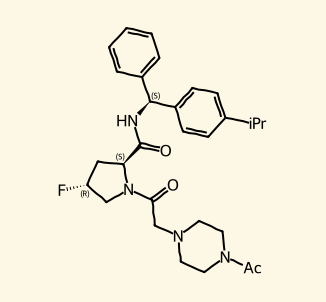 CC(=O)N1CCN(CC(=O)N2C[C@H](F)C[C@H]2C(=O)N[C@@H](c2ccccc2)c2ccc(C(C)C)cc2)CC1